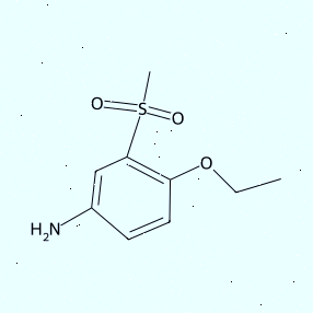 CCOc1ccc(N)cc1S(C)(=O)=O